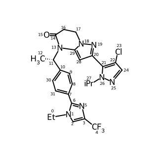 CCn1cc(C(F)(F)F)nc1-c1ccc([C@H](C)N2C(=O)CCn3nc(-c4c(Cl)cnn4C(C)C)cc32)cc1